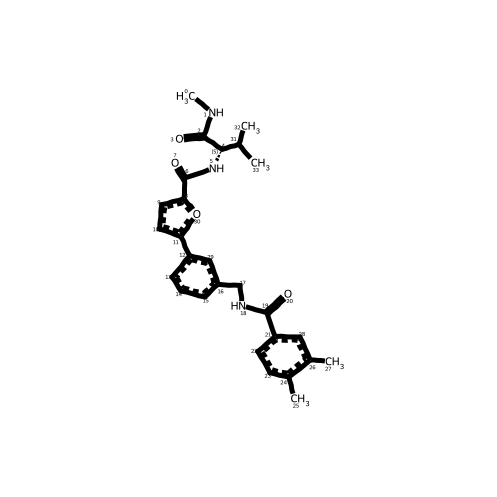 CNC(=O)[C@@H](NC(=O)c1ccc(-c2cccc(CNC(=O)c3ccc(C)c(C)c3)c2)o1)C(C)C